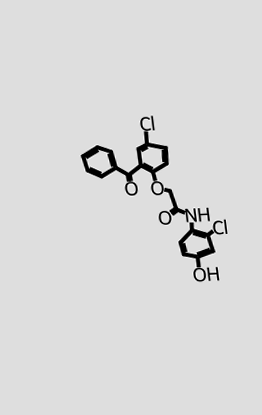 O=C(COc1ccc(Cl)cc1C(=O)c1ccccc1)Nc1ccc(O)cc1Cl